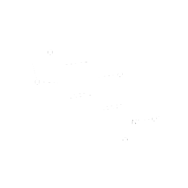 COc1cc2c(cc1/C=C/[N+](=O)[O-])OCO2